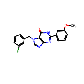 COc1cccc(-c2nc3ncn(Cc4cccc(F)c4)c3c(=O)[nH]2)c1